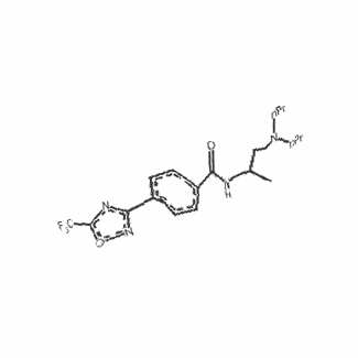 CCCN(CCC)CC(C)NC(=O)c1ccc(-c2noc(C(F)(F)F)n2)cc1